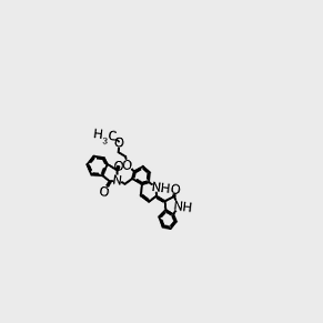 COCCOc1ccc2c(c1CN1C(=O)c3ccccc3C1=O)C=C/C(=C1/C(=O)Nc3ccccc31)N2